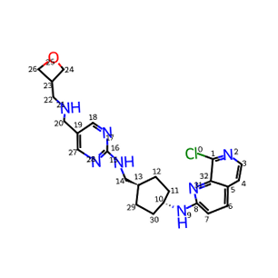 Clc1nccc2ccc(N[C@H]3CC[C@H](CNc4ncc(CNCC5COC5)cn4)CC3)nc12